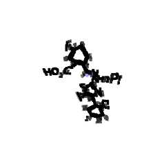 CCCN(/N=C/c1ccc(F)cc1C(=O)O)c1nc(-c2ccccc2Cl)c(F)s1